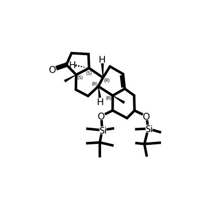 CC(C)(C)[Si](C)(C)OC1CC2=CC[C@@H]3[C@@H](CC[C@]4(C)C(=O)CC[C@@H]34)[C@@]2(C)C(O[Si](C)(C)C(C)(C)C)C1